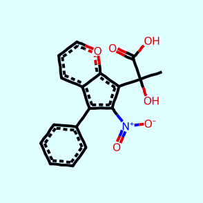 CC(O)(C(=O)O)c1c2occcc-2c(-c2ccccc2)c1[N+](=O)[O-]